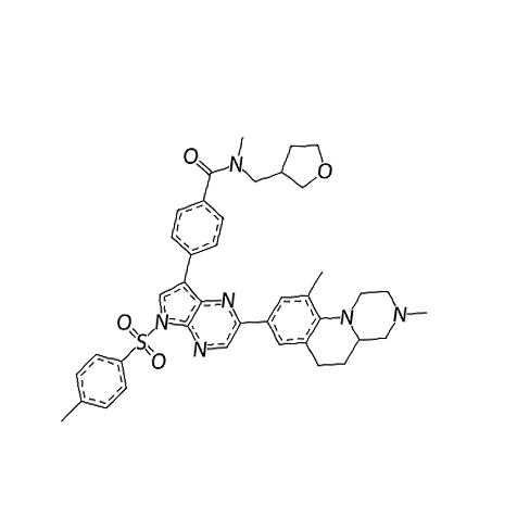 Cc1ccc(S(=O)(=O)n2cc(-c3ccc(C(=O)N(C)CC4CCOC4)cc3)c3nc(-c4cc(C)c5c(c4)CCC4CN(C)CCN54)cnc32)cc1